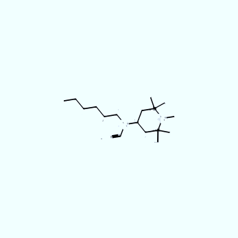 CCCCCCN(C=O)C1CC(C)(C)N(C)C(C)(C)C1